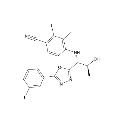 Cc1c(N[C@@H](c2nnc(-c3cccc(F)c3)o2)[C@H](C)O)ccc(C#N)c1I